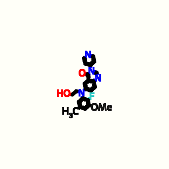 COc1cc(C)cc(N(CCO)c2ccc3ncn(-c4ccncc4)c(=O)c3c2)c1F